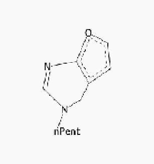 CCCCCN1C=Nc2occc2C1